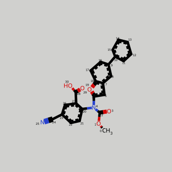 COC(=O)N(c1cc2cc(-c3ccccc3)ccc2o1)c1ccc(C#N)cc1C(=O)O